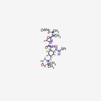 CCCNC(=O)c1cc(CN2CCOCC2(C)C)ccc1NC(=O)c1coc(N(C)[C@H](C)COC)n1